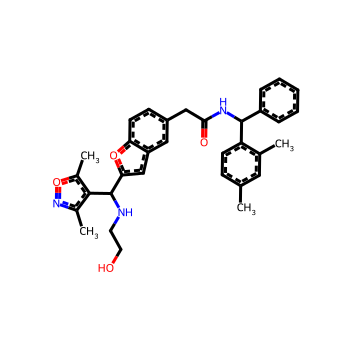 Cc1ccc(C(NC(=O)Cc2ccc3oc(C(NCCO)c4c(C)noc4C)cc3c2)c2ccccc2)c(C)c1